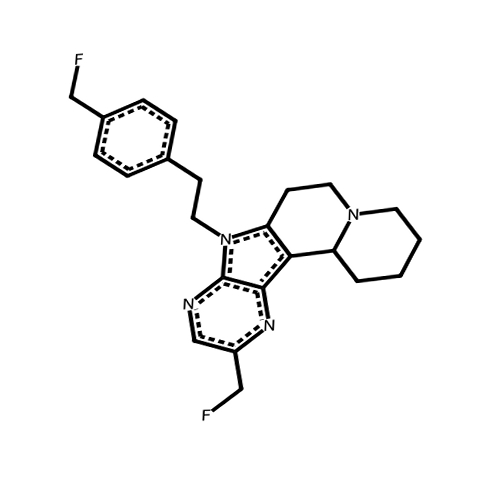 FCc1ccc(CCn2c3c(c4nc(CF)cnc42)C2CCCCN2CC3)cc1